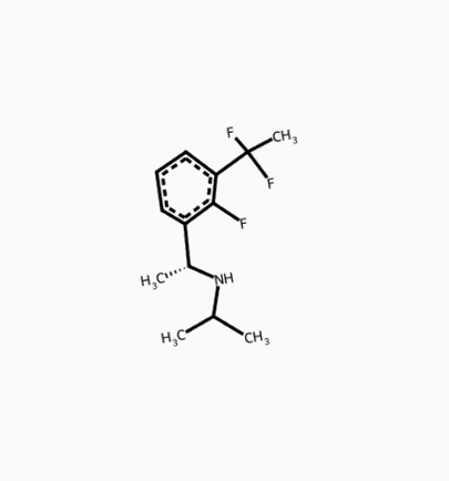 CC(C)N[C@H](C)c1cccc(C(C)(F)F)c1F